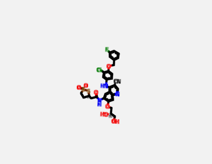 N#Cc1cnc2cc(OC[C@@H](O)CO)c(NC(=O)C[C@H]3CCS(=O)(=O)S3)cc2c1Nc1ccc(OCc2cccc(F)c2)c(Cl)c1